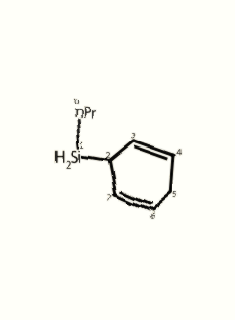 CCC[SiH2]C1C=CCC=C1